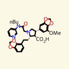 CCCCN(C(=O)CN1C[C@H](c2cc(OC)c3c(c2)OCO3)[C@@H](C(=O)O)[C@@H]1CCc1cccc2c1OCO2)c1cccnc1